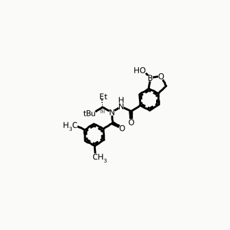 CC[C@H](N(NC(=O)c1ccc2c(c1)B(O)OC2)C(=O)c1cc(C)cc(C)c1)C(C)(C)C